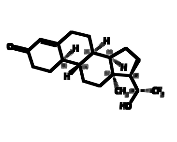 C[C@]12CC[C@H]3[C@@H](CCC4=CC(=O)CC[C@@H]43)[C@H]1CC[C@H]2[C@@H](O)C(F)(F)F